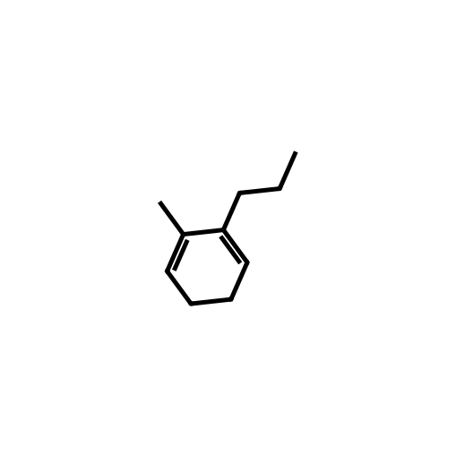 CCCC1=CCCC=C1C